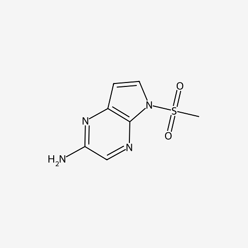 CS(=O)(=O)n1ccc2nc(N)cnc21